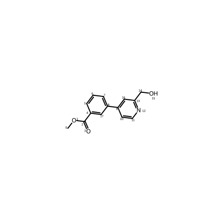 COC(=O)c1cccc(-c2ccnc(CO)c2)c1